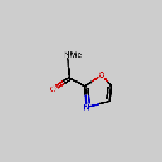 [CH2]NC(=O)c1ncco1